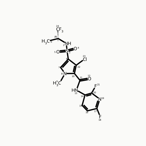 C[C@@H](NS(=O)(=O)c1cn(C)c(C(=O)Nc2ccc(F)nc2F)c1Cl)C(F)(F)F